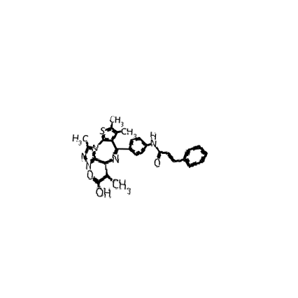 Cc1sc2c(c1C)C(c1ccc(NC(=O)C=Cc3ccccc3)cc1)=N[C@@H](C(C)C(=O)O)c1nnc(C)n1-2